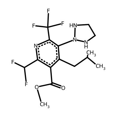 COC(=O)c1c(C(F)F)nc(C(F)(F)F)c(N2NCCN2)c1CC(C)C